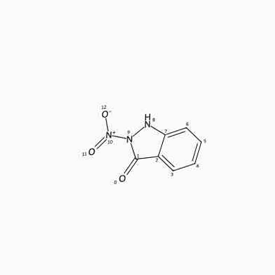 O=c1c2ccccc2[nH]n1[N+](=O)[O-]